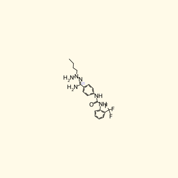 CCCCN(N)/N=C(\N)c1ccc(NC(=O)Nc2ccccc2C(F)(F)F)cc1